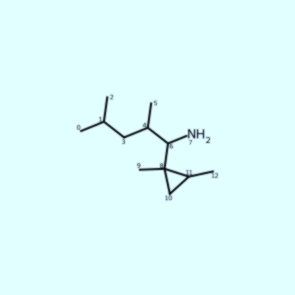 CC(C)CC(C)C(N)C1(C)CC1C